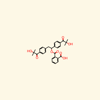 CC(C)(O)C(=O)c1ccc(CC(OC(=O)c2ccccc2C(=O)O)c2ccc(C(=O)C(C)(C)O)cc2)cc1